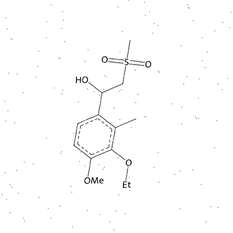 CCOc1c(OC)ccc(C(O)CS(C)(=O)=O)c1C